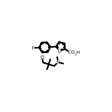 CN(C)CC(C)(C)CCl.O=C(O)c1ccc(-c2ccc(F)cc2)o1